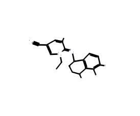 CCn1cc(C#N)cc(O)/c1=N/C1CCC(F)c2c1ccc(Br)c2F